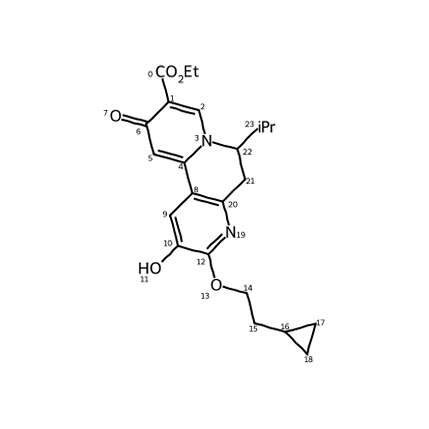 CCOC(=O)c1cn2c(cc1=O)-c1cc(O)c(OCCC3CC3)nc1CC2C(C)C